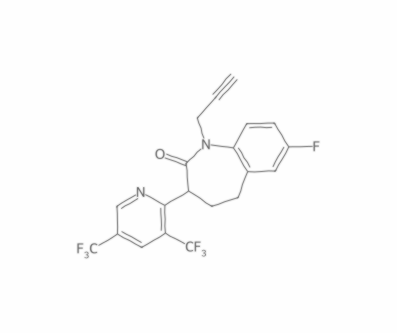 C#CCN1C(=O)C(c2ncc(C(F)(F)F)cc2C(F)(F)F)CCc2cc(F)ccc21